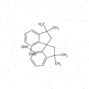 CC1(C)CC2(CC(C)(C)c3cccc(C=O)c32)c2c(C=O)cccc21